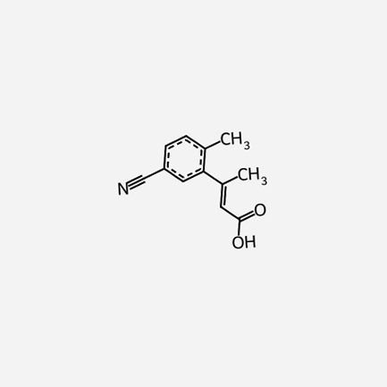 C/C(=C\C(=O)O)c1cc(C#N)ccc1C